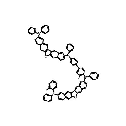 Cc1ccccc1N(c1ccccc1)c1ccc2cc3oc4cc5ccc(N(c6ccccc6)c6ccc(-c7ccc(N(c8ccccc8)c8ccc9cc%10oc%11cc%12ccc(N(c%13ccccc%13)c%13ccccc%13)cc%12cc%11c%10cc9c8)cc7)cc6C)cc5cc4c3cc2c1